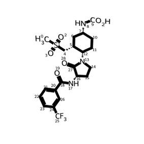 CS(=O)(=O)C[C@@H]1C[C@H](NC(=O)O)CC[C@@H]1N1CC[C@H](NC(=O)c2cccc(C(F)(F)F)c2)C1=O